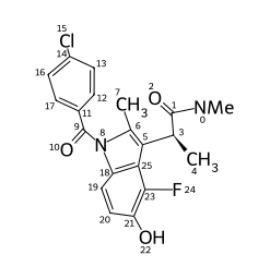 CNC(=O)[C@@H](C)c1c(C)n(C(=O)c2ccc(Cl)cc2)c2ccc(O)c(F)c12